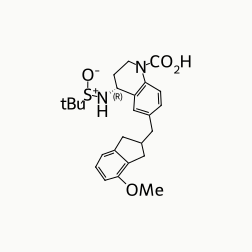 COc1cccc2c1CC(Cc1ccc3c(c1)[C@H](N[S+]([O-])C(C)(C)C)CCN3C(=O)O)C2